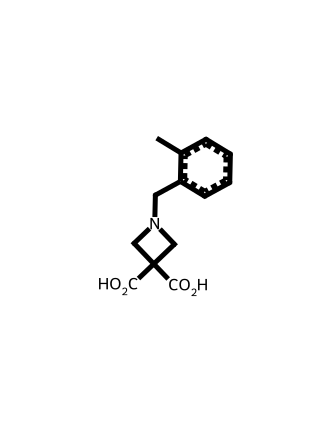 Cc1ccccc1CN1CC(C(=O)O)(C(=O)O)C1